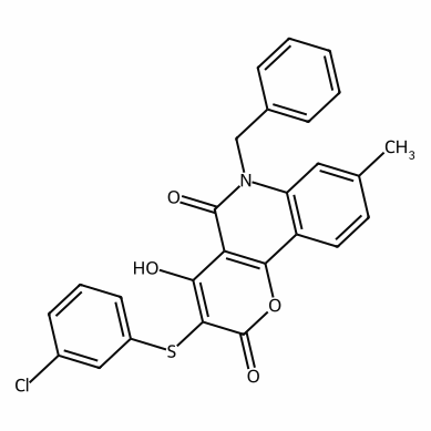 Cc1ccc2c3oc(=O)c(Sc4cccc(Cl)c4)c(O)c3c(=O)n(Cc3ccccc3)c2c1